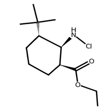 CCOC(=O)[C@H]1CCC[C@H](C(C)(C)C)[C@H]1NCl